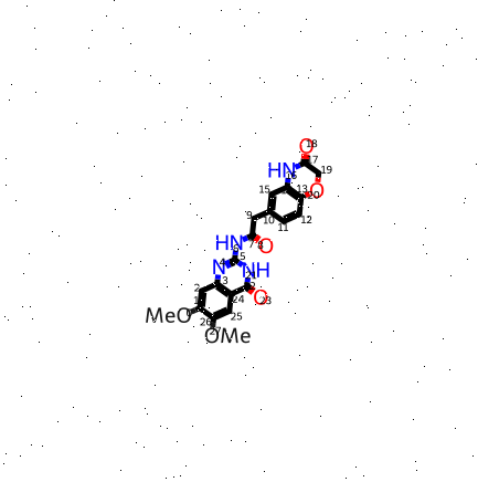 COc1cc2nc(NC(=O)Cc3ccc4c(c3)NC(=O)CO4)[nH]c(=O)c2cc1OC